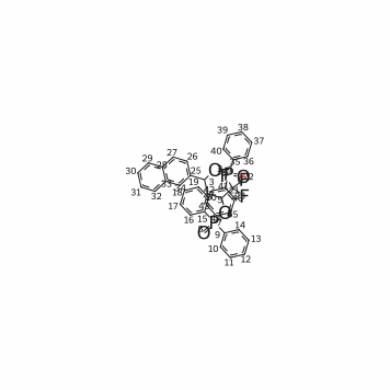 O=P(OC(CC(OP(=O)(c1ccccc1)c1ccccc1)C(F)(F)F)c1ccc2ccccc2c1)(c1ccccc1)c1ccccc1